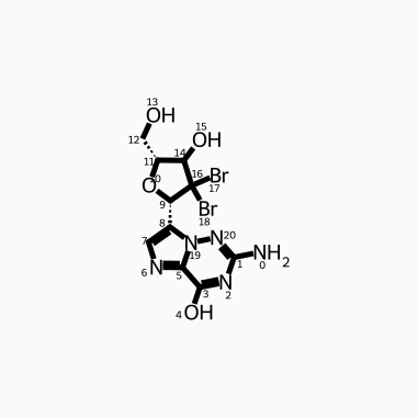 Nc1nc(O)c2ncc([C@@H]3O[C@H](CO)C(O)C3(Br)Br)n2n1